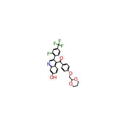 O=C(c1ccc(OCC2OCCCO2)cc1)c1c(-c2ccc(C(F)(F)F)cc2F)cnc2cc(O)ccc12